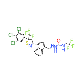 O=C(NCC(F)(F)F)NN=Cc1ccc(C2=NSC(c3cc(Cl)c(Cl)c(Cl)c3)(C(F)(F)F)C2)c2ccccc12